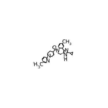 Cc1ccc(N2CCC(C(=O)N3CCc4[nH]c(C5CC5)nc4-c4cc(C)ccc43)CC2)nc1